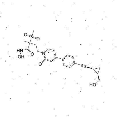 CC(CCn1ccc(-c2ccc(C#C[C@H]3C[C@H]3CO)cc2)cc1=O)(C(=O)NO)S(C)(=O)=O